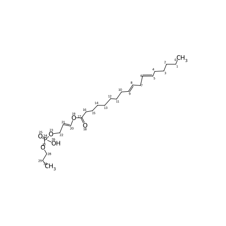 CCCCC/C=C/C/C=C/CCCCCCCC(=O)O/C=C/COP(=O)(O)OCCC